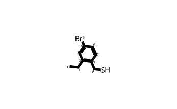 CCc1cc(Br)ccc1CS